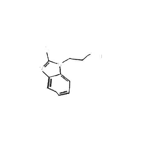 CC(=O)c1nc2ccccc2n1CCC(=O)O